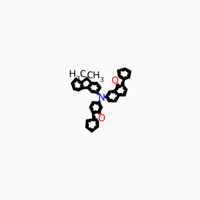 CC1(C)c2ccccc2-c2cc(N(c3ccc4c(c3)oc3ccccc34)c3ccc4ccc5c6ccccc6oc5c4c3)ccc21